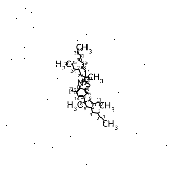 CCCCCCCC(C)(CCCC)c1cc(F)c2nc(C(C)(CCCCC)CCCCCCC)sc2c1